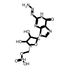 NN=Nc1nc2c(ncn2[C@@H]2O[C@H](CO[PH](=O)O)C(O)C2O)c(=O)[nH]1